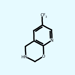 FC(F)(F)c1cnc2c(c1)CNCO2